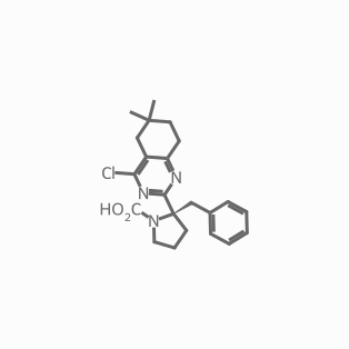 CC1(C)CCc2nc([C@]3(Cc4ccccc4)CCCN3C(=O)O)nc(Cl)c2C1